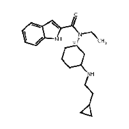 CCN(C(=O)c1cc2ccccc2[nH]1)[C@H]1CCCC(NCCC2CC2)C1